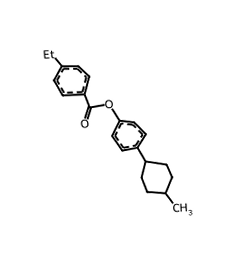 CCc1ccc(C(=O)Oc2ccc(C3CCC(C)CC3)cc2)cc1